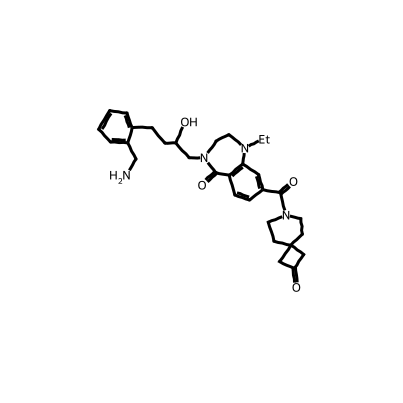 CCN1CCN(CC(O)CCc2ccccc2CN)C(=O)c2ccc(C(=O)N3CCC4(CC3)CC(=O)C4)cc21